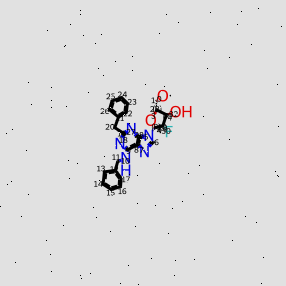 [O]C[C@H]1O[C@@H](n2cnc3c(NCc4ccccc4)nc(Cc4ccccc4)nc32)[C@@H](F)[C@@H]1O